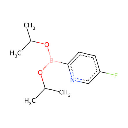 CC(C)OB(OC(C)C)c1ccc(F)cn1